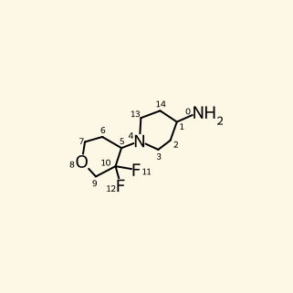 NC1CCN(C2CCOCC2(F)F)CC1